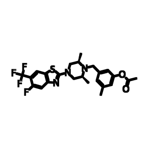 CC(=O)Oc1cc(C)cc(CN2[C@H](C)CN(c3nc4cc(F)c(C(F)(F)F)cc4s3)C[C@@H]2C)c1